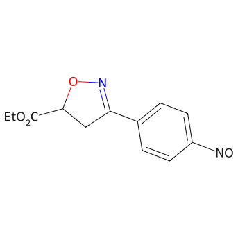 CCOC(=O)C1CC(c2ccc(N=O)cc2)=NO1